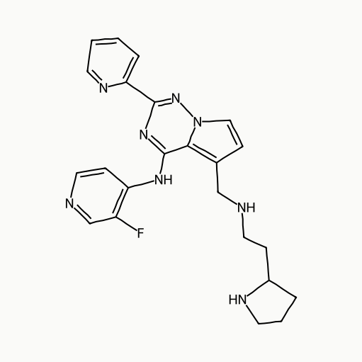 Fc1cnccc1Nc1nc(-c2ccccn2)nn2ccc(CNCCC3CCCN3)c12